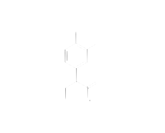 CCC(C(=O)O)c1ccc(C)c(Cl)c1